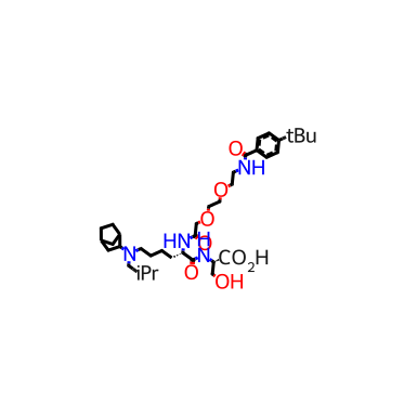 CC(C)CN(CCCC[C@H](NC(=O)COCCOCCNC(=O)c1ccc(C(C)(C)C)cc1)C(=O)N[C@@H](CO)C(=O)O)C1CC2CCC1C2